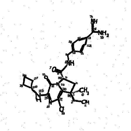 C[C@@]1(CO)C[C@@H](C(=O)NCc2ccc(C(=N)N)cc2)n2c1c(Cl)nc(NC1CCC1)c2=O